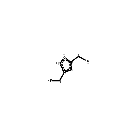 FCc1cc(CBr)on1